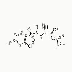 N#CC1(NC(=O)[C@@H]2C[C@@H](S(=O)(=O)c3ccc(F)cc3Cl)CN2)CC1